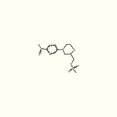 CS(=O)(=O)OCC1CN(c2ccc([N+](=O)[O-])nc2)CCO1